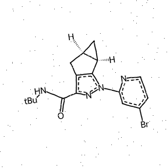 CC(C)(C)NC(=O)c1nn(-c2cc(Br)ccn2)c2c1C[C@H]1C[C@@H]21